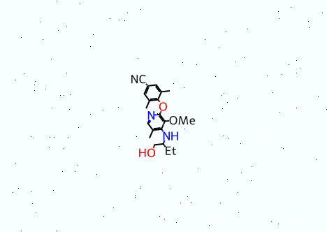 CCC(CO)Nc1c(C)cnc(Oc2c(C)cc(C#N)cc2C)c1OC